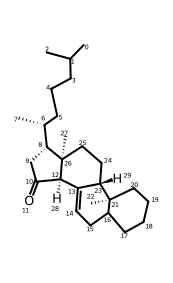 CC(C)CCC[C@@H](C)[C@H]1CC(=O)[C@@H]2C3=CCC4CCCC[C@]4(C)[C@H]3CC[C@@]21C